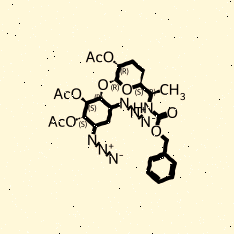 CC(=O)O[C@H]1[C@H](O[C@H]2O[C@H]([C@@H](C)NC(=O)OCc3ccccc3)CC[C@H]2OC(C)=O)C(N=[N+]=[N-])CC(N=[N+]=[N-])[C@@H]1OC(C)=O